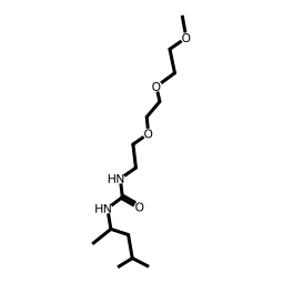 COCCOCCOCCNC(=O)NC(C)CC(C)C